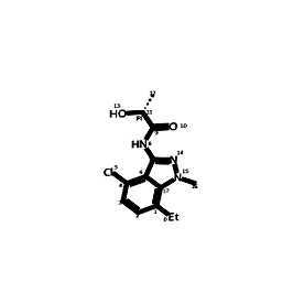 CCc1ccc(Cl)c2c(NC(=O)[C@@H](C)O)nn(C)c12